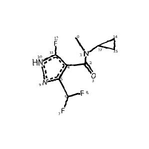 CN(C(=O)c1c(C(F)F)n[nH]c1F)C1CC1